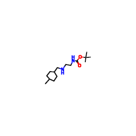 CC1CCC(CNCCNC(=O)OC(C)(C)C)CC1